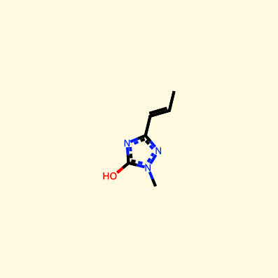 CC=Cc1nc(O)n(C)n1